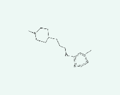 Cc1ccnc(OCCCC2CCN(C)CC2)c1